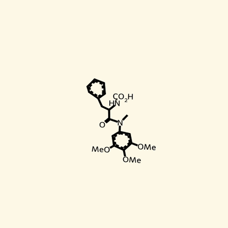 COc1cc(N(C)C(=O)C(Cc2ccccc2)NC(=O)O)cc(OC)c1OC